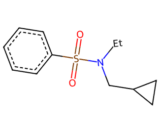 CCN(CC1CC1)S(=O)(=O)c1ccccc1